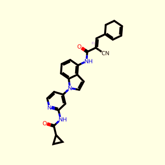 N#C/C(=C\C1=CC=CCC1)C(=O)Nc1cccc2c1ccn2-c1ccnc(NC(=O)C2CC2)c1